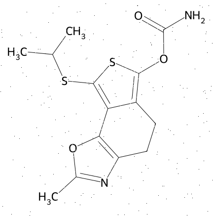 Cc1nc2c(o1)-c1c(SC(C)C)sc(OC(N)=O)c1CC2